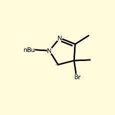 CCCCN1[CH]C(C)(Br)C(C)=N1